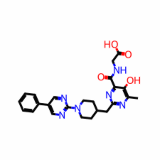 Cc1nc(CC2CCN(c3ncc(-c4ccccc4)cn3)CC2)nc(C(=O)NCC(=O)O)c1O